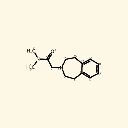 CN(C)C(=O)CN1CCc2c[c]ccc2CC1